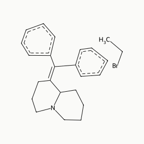 CCBr.c1ccc(C(=C2CCCN3CCCCC23)c2ccccc2)cc1